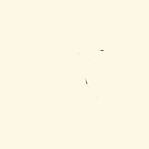 Br.CCOC(=O)[C@H](CCc1ccccc1)N[C@H]1CCC(=O)N2CC[C@@H](C(=O)O)N2C1=O